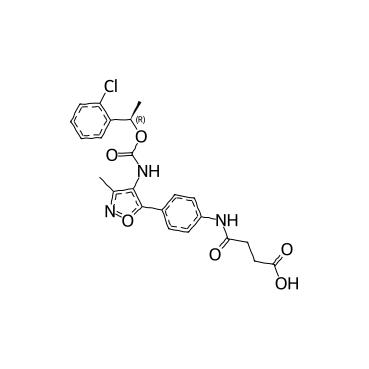 Cc1noc(-c2ccc(NC(=O)CCC(=O)O)cc2)c1NC(=O)O[C@H](C)c1ccccc1Cl